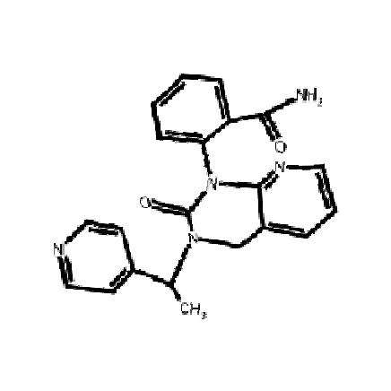 CC(c1ccncc1)N1Cc2cccnc2N(c2ccccc2C(N)=O)C1=O